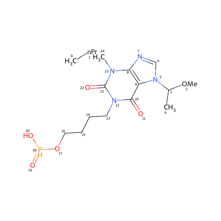 CCCC.COC(C)n1cnc2c1c(=O)n(CCCCO[PH](=O)O)c(=O)n2C